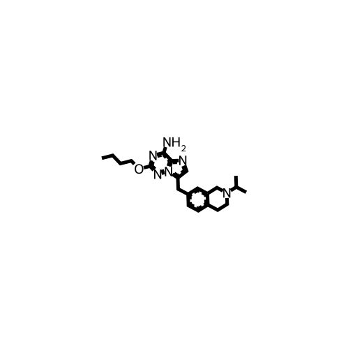 CCCCOc1nc(N)c2ncc(Cc3ccc4c(c3)CN(C(C)C)CC4)n2n1